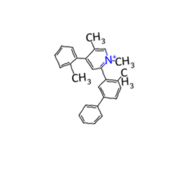 Cc1ccccc1-c1cc(-c2cc(-c3ccccc3)ccc2C)[n+](C)cc1C